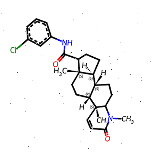 CN1C(=O)C=C[C@@]2(C)C1CC[C@@H]1[C@H]2CC[C@]2(C)C(C(=O)Nc3cccc(Cl)c3)CC[C@@H]12